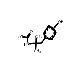 CC(C)(Cc1ccc(O)cc1)NC(=O)O